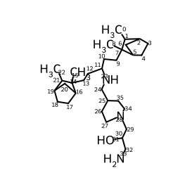 CC1C2CCC(C2)C1(C)CCC(CCC1(C)C2CCC(C2)C1C)NCC1CCN(CC(O)CN)CC1